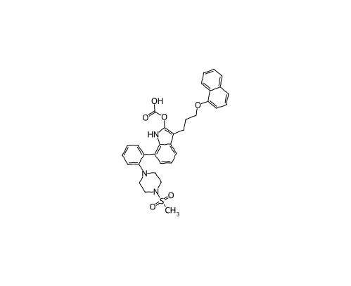 CS(=O)(=O)N1CCN(c2ccccc2-c2cccc3c(CCCOc4cccc5ccccc45)c(OC(=O)O)[nH]c23)CC1